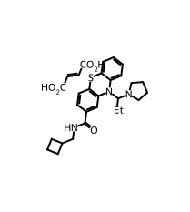 CCC(N1CCCC1)N1c2ccccc2Sc2ccc(C(=O)NCC3CCC3)cc21.O=C(O)C=CC(=O)O